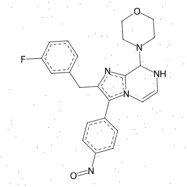 O=Nc1ccc(-c2c(Cc3cccc(F)c3)nc3n2C=CNC3N2CCOCC2)cc1